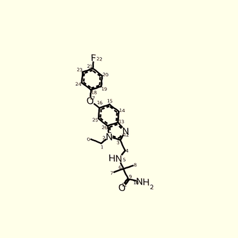 CCn1c(CNC(C)(C)C(N)=O)nc2ccc(Oc3ccc(F)cc3)cc21